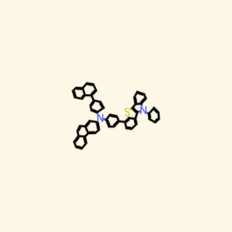 c1ccc(-n2c3ccccc3c3sc4c(-c5ccc(N(c6ccc(-c7cccc8ccccc78)cc6)c6ccc7c(ccc8ccccc87)c6)cc5)cccc4c32)cc1